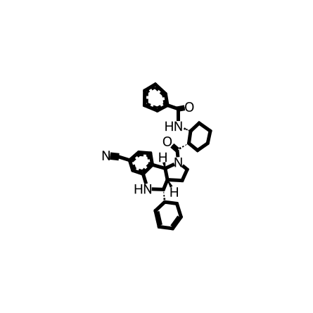 N#Cc1ccc2c(c1)N[C@@H](C1C=CC=CC1)[C@H]1CCN(C(=O)[C@H]3CCCC[C@H]3NC(=O)c3ccccc3)[C@@H]21